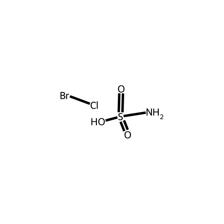 ClBr.NS(=O)(=O)O